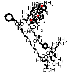 CCCCCCN(C(=O)[C@@H](NC(=O)[C@H]1CCCCN1C)[C@@H](C)CC)[C@H](C[C@@H](OC(=O)NCCNC(=O)OCc1ccc(NC(=O)[C@H](CCCNC(N)=O)NC(=O)[C@@H](NC(=O)[C@H](CCC(=O)O)NC(=O)CCOCCOCCOCCOCCNC(=O)OCC2C3CCC#CCCC32)C(C)C)cc1)c1nc(C(=O)N[C@@H](Cc2ccc(N)c(F)c2)CC(C)(C)C(=O)O)cs1)C(C)C